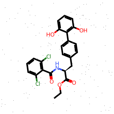 CCOC(=O)[C@H](Cc1ccc(-c2c(O)cccc2O)cc1)NC(=O)c1c(Cl)cccc1Cl